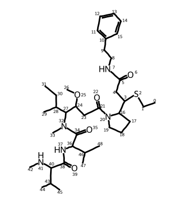 CCSC(CC(=O)NCCc1ccccc1)C1CCCN1C(=O)CC(OC)C(C(C)CC)N(C)C(=O)C(NC(=O)C(NC)C(C)C)C(C)C